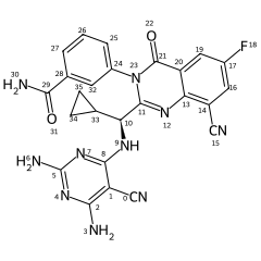 N#Cc1c(N)nc(N)nc1N[C@H](c1nc2c(C#N)cc(F)cc2c(=O)n1-c1cccc(C(N)=O)c1)C1CC1